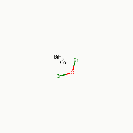 BrOBr.[BiH3].[Co]